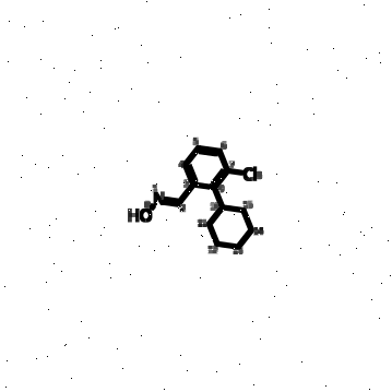 ON=Cc1cccc(Cl)c1C1CCCCC1